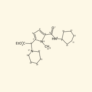 CCOC(=O)C(c1ccc(C(=O)NC2CCCCC2)n1C)N1CCCCC1